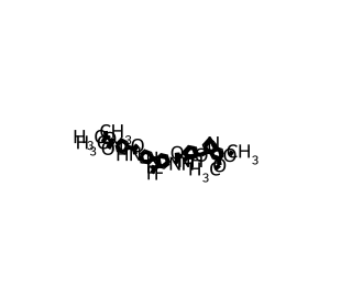 COc1cc2nccc(Oc3cccc(NC(=O)Nc4ccc(N5CCC(NC(=O)C6CCN(C(=O)OC(C)(C)C)CC6)CC5)c(C(F)(F)F)c4)c3)c2cc1OC